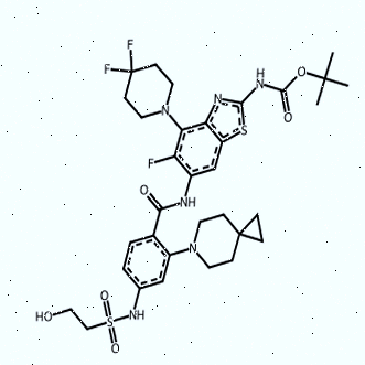 CC(C)(C)OC(=O)Nc1nc2c(N3CCC(F)(F)CC3)c(F)c(NC(=O)c3ccc(NS(=O)(=O)CCO)cc3N3CCC4(CC3)CC4)cc2s1